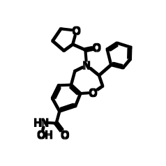 O=C(NO)c1ccc2c(c1)OCC(c1ccccc1)N(C(=O)C1CCCO1)C2